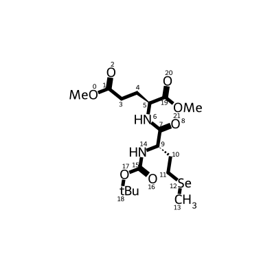 COC(=O)CC[C@H](NC(=O)[C@H](CC[Se]C)NC(=O)OC(C)(C)C)C(=O)OC